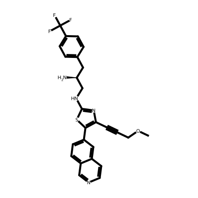 COCC#Cc1nc(NC[C@@H](N)Cc2ccc(C(F)(F)F)cc2)sc1-c1ccc2cnccc2c1